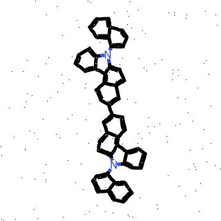 c1ccc2c(-n3c4ccccc4c4c5ccc(-c6ccc7c(ccc8c7c7ccccc7n8-c7cccc8ccccc78)c6)cc5ccc43)cccc2c1